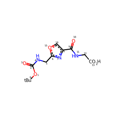 CC(C)(C)OC(=O)NCc1nc(C(=O)NCC(=O)O)co1